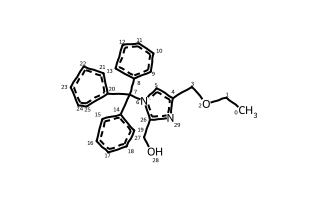 CCOCc1cn(C(c2ccccc2)(c2ccccc2)c2ccccc2)c(CO)n1